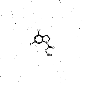 CC(C)(C)OC(=O)N1CCc2c(Br)cc(F)cc21